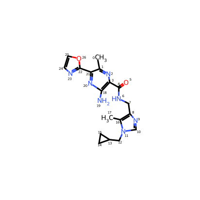 Cc1nc(C(=O)NCc2ncn(CC3CC3)c2C)c(N)nc1-c1ncco1